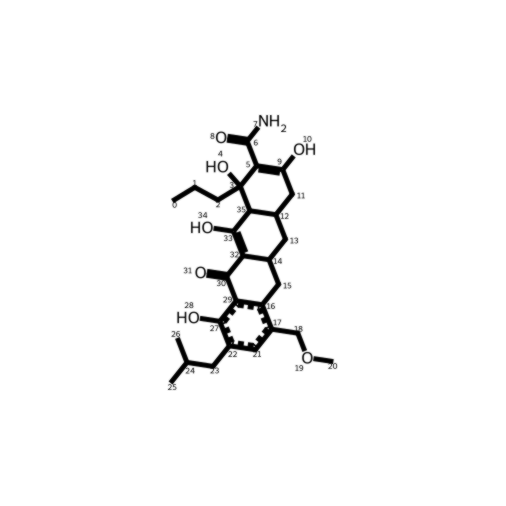 CCCC1(O)C(C(N)=O)=C(O)CC2CC3Cc4c(COC)cc(CC(C)C)c(O)c4C(=O)C3=C(O)C21